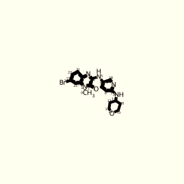 Cn1c(=O)c(Nc2ccc(NC3CCOCC3)nc2)nc2ccc(Br)cc21